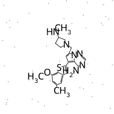 CNC1CCN(Cc2cc(-c3cc4cc(C)cc(OC)c4s3)c3c(N)ncnn23)C1